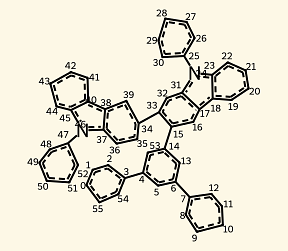 c1ccc(-c2cc(-c3ccccc3)cc(-c3cc4c5ccccc5n(-c5ccccc5)c4cc3-c3ccc4c(c3)c3ccccc3n4-c3ccccc3)c2)cc1